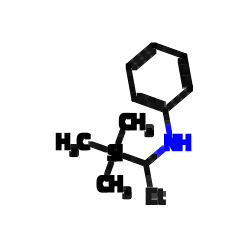 CCC(Nc1ccccc1)[Si](C)(C)C